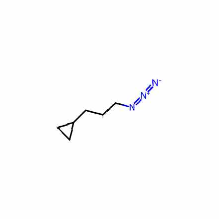 [N-]=[N+]=NC[CH]CC1CC1